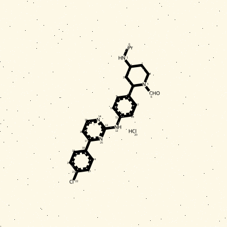 CC(C)NC1CCN(C=O)C(c2ccc(Nc3nccc(-c4ccc(Cl)cc4)n3)cc2)C1.Cl